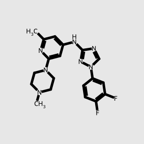 Cc1cc(Nc2ncn(-c3ccc(F)c(F)c3)n2)cc(N2CCN(C)CC2)n1